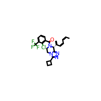 C=C(/C=C\C=C/C)[C@@H]1c2nnc(C3CCC3)n2CCN1C(=O)c1cccc(C(F)(F)F)c1Cl